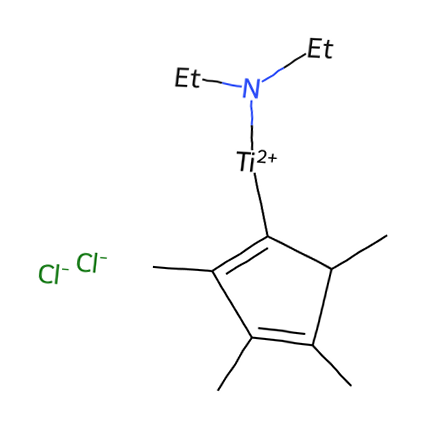 CC[N](CC)[Ti+2][C]1=C(C)C(C)=C(C)C1C.[Cl-].[Cl-]